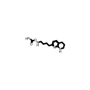 CCCC(=O)ONCCCCc1ccc2c(n1)NCCC2